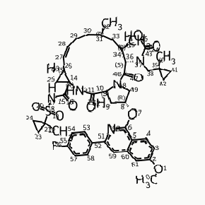 COc1ccc2c(O[C@@H]3C[C@H]4C(=O)N[C@]5(C(=O)NS(=O)(=O)C6(C)CC6)C[C@H]5C=CCC[C@@H](C)C[C@@H](C)[C@H](N(CC5(C)CC5)C(=O)O)C(=O)N4C3)nc(-c3ccc(F)cc3)cc2c1